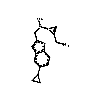 CN(Cc1cn2cc(C3CC3)ccc2n1)N1C=C1CN